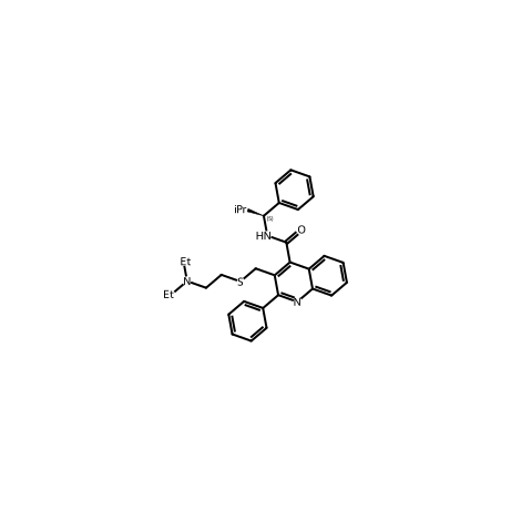 CCN(CC)CCSCc1c(-c2ccccc2)nc2ccccc2c1C(=O)N[C@H](c1ccccc1)C(C)C